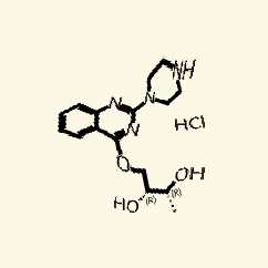 C[C@@H](O)[C@H](O)COc1nc(N2CCNCC2)nc2ccccc12.Cl